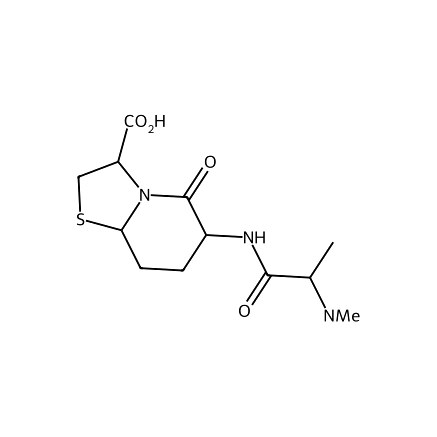 CNC(C)C(=O)NC1CCC2SCC(C(=O)O)N2C1=O